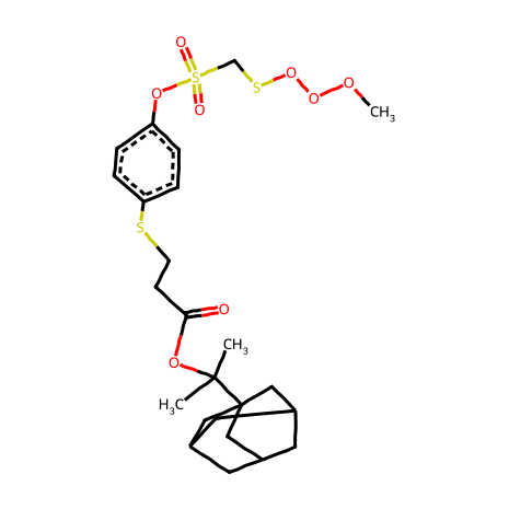 COOOSCS(=O)(=O)Oc1ccc(SCCC(=O)OC(C)(C)C23CC4CC(CC(C4)C2)C3)cc1